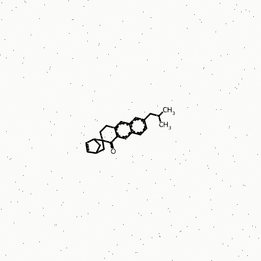 CC(C)Cc1ccc2cc3c(cc2c1)CCC1(CC2C=CC1C2)C3=O